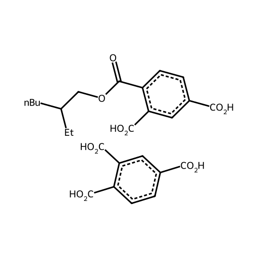 CCCCC(CC)COC(=O)c1ccc(C(=O)O)cc1C(=O)O.O=C(O)c1ccc(C(=O)O)c(C(=O)O)c1